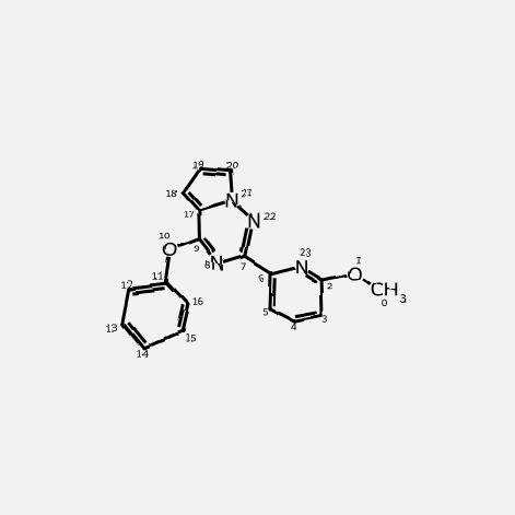 COc1cccc(-c2nc(Oc3ccccc3)c3cccn3n2)n1